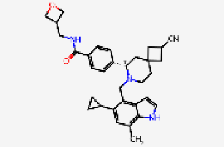 Cc1cc(C2CC2)c(CN2CCC3(CC(C#N)C3)C[C@H]2c2ccc(C(=O)NCC3COC3)cc2)c2cc[nH]c12